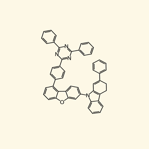 C1=C(c2ccccc2)CCc2c1n(-c1ccc3c(c1)oc1cccc(-c4ccc(-c5nc(-c6ccccc6)nc(-c6ccccc6)n5)cc4)c13)c1ccccc21